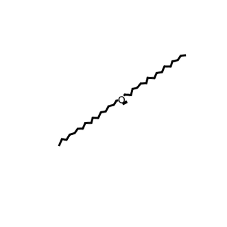 C=C.CCCCCCCCCCCCCCCCOCCCCCCCCCCCCCCCC